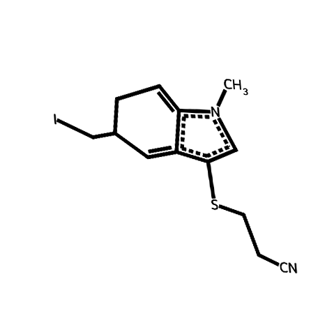 Cn1cc(SCCC#N)c2c1=CCC(CI)C=2